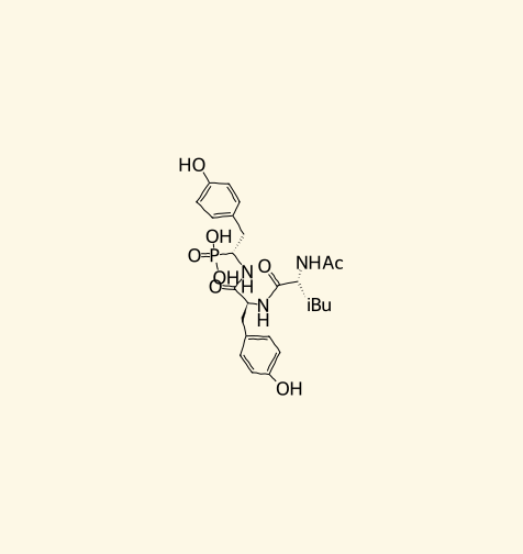 CC[C@@H](C)[C@@H](NC(C)=O)C(=O)N[C@@H](Cc1ccc(O)cc1)C(=O)N[C@@H](Cc1ccc(O)cc1)P(=O)(O)O